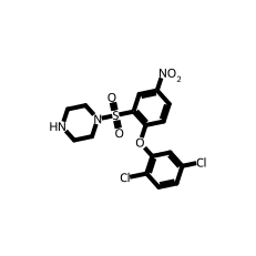 O=[N+]([O-])c1ccc(Oc2cc(Cl)ccc2Cl)c(S(=O)(=O)N2CCNCC2)c1